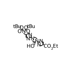 CCOC(=O)c1cnc(N2CCN(c3ncc(CN(C(=O)OC(C)(C)C)C(=O)OC(C)(C)C)cn3)C[C@@H]2CO)nc1